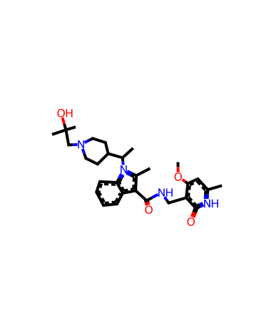 COc1cc(C)[nH]c(=O)c1CNC(=O)c1c(C)n(C(C)C2CCN(CC(C)(C)O)CC2)c2ccccc12